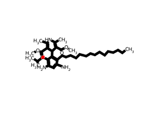 CCCCCCCCCCCCCCCc1c(N)cc(N)c(OC(C)C)c1C1C(C(=O)OC)=C(C)NC(C)=C1C(=O)OC